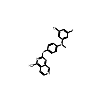 CN(c1ccc(Oc2nc(O)c3ccncc3n2)cc1)c1cc(F)cc(Cl)c1